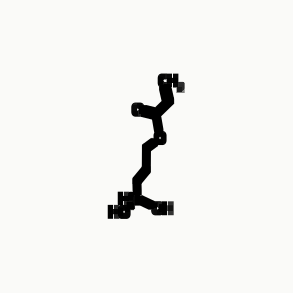 C=CC(=O)OCCC[SiH](O)O